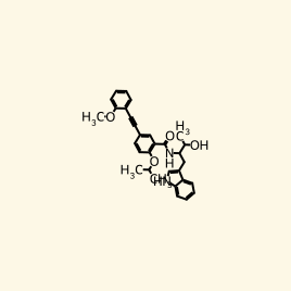 COc1ccccc1C#Cc1ccc(OC(C)C)c(C(=O)NC(Cc2c[nH]c3ccccc23)C(C)O)c1